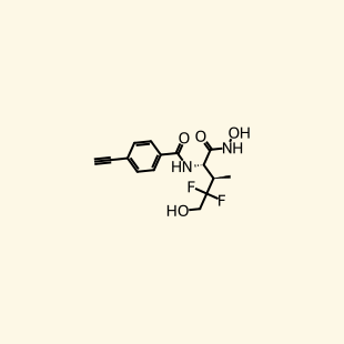 C#Cc1ccc(C(=O)N[C@H](C(=O)NO)[C@@H](C)C(F)(F)CO)cc1